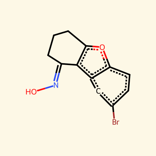 ON=C1CCCc2oc3ccc(Br)cc3c21